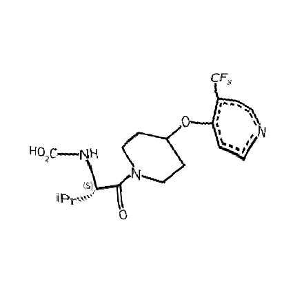 CC(C)[C@H](NC(=O)O)C(=O)N1CCC(Oc2ccncc2C(F)(F)F)CC1